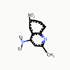 CCN(CC)c1cc(C)nc2ccc([N+](=O)[O-])cc12